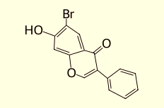 O=c1c(-c2ccccc2)coc2cc(O)c(Br)cc12